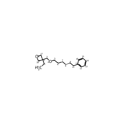 CCC1(COCCCCCCc2ccccc2)COC1